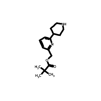 CC(C)(C)C(=O)OCc1cccc(C2CCNCC2)n1